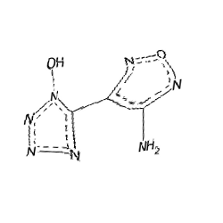 Nc1nonc1-c1nnnn1O